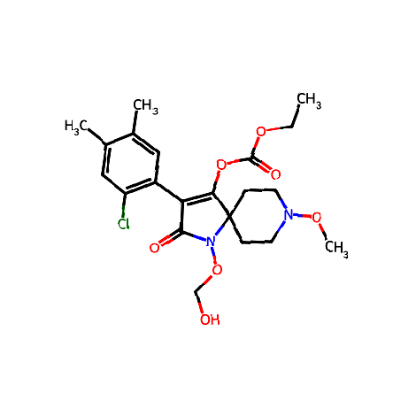 CCOC(=O)OC1=C(c2cc(C)c(C)cc2Cl)C(=O)N(OCO)C12CCN(OC)CC2